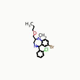 CCCOCC1CN=C(c2ccccc2Cl)c2cc(Br)ccc2N1C